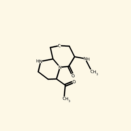 CNC1CCCC2NCCC(C(C)=O)N2C1=O